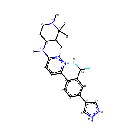 CC1C(N(C)c2ccc(-c3ccc(-c4cn[nH]c4)cc3C(F)F)nn2)CCN(C)C1(C)C